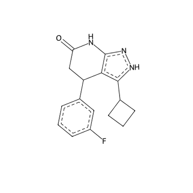 O=C1CC(c2cccc(F)c2)c2c(n[nH]c2C2CCC2)N1